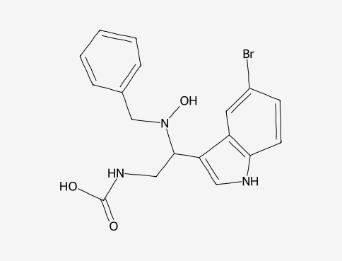 O=C(O)NCC(c1c[nH]c2ccc(Br)cc12)N(O)Cc1ccccc1